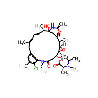 C=C1N[C@]2(O)C[C@H](O1)C(C)[C@@H]1O[C@@]1(C)[C@@H](OC(=O)[C@H](C)N(C)C(C)C)CC(=O)N(C)c1cc(cc(C)c1Cl)C/C(C)=C/C=C/[C@H]2C